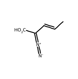 C/C=C/C(=[N+]=[N-])C(=O)O